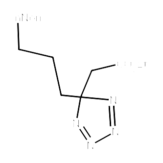 CCCCCCCCCCCCC1(CC(=O)OCC)N=NN=N1